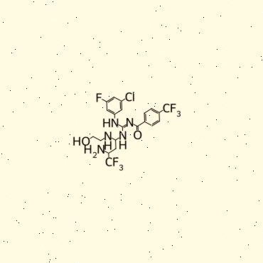 NC(CC(NCCO)N/C(=N\C(=O)c1ccc(C(F)(F)F)cc1)Nc1cc(F)cc(Cl)c1)C(F)(F)F